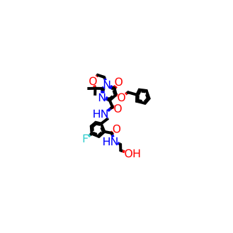 CC1(C)OCCn2c1nc(C(=O)NCc1ccc(F)cc1C(=O)NCCO)c(OCc1ccccc1)c2=O